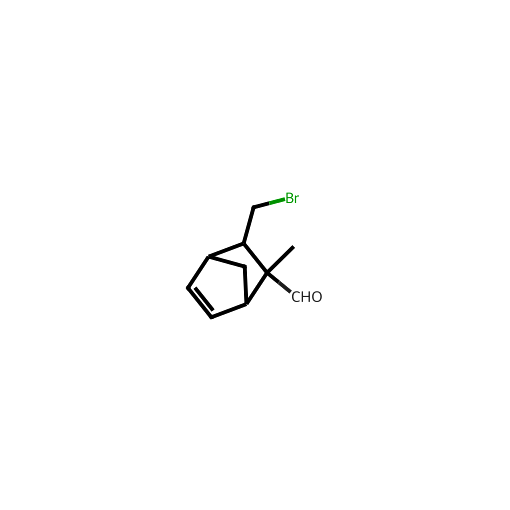 CC1(C=O)C2C=CC(C2)C1CBr